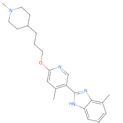 Cc1cc(OCCCC2CCN(C)CC2)ncc1-c1nc2c(C)cc(Cl)cc2[nH]1